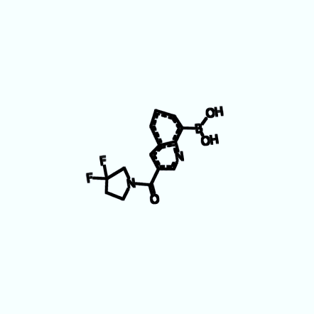 O=C(c1cnc2c(B(O)O)cccc2c1)N1CCC(F)(F)C1